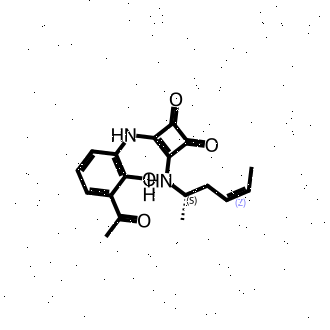 C/C=C\C[C@H](C)Nc1c(Nc2cccc(C(C)=O)c2O)c(=O)c1=O